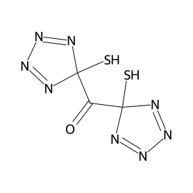 O=C(C1(S)N=NN=N1)C1(S)N=NN=N1